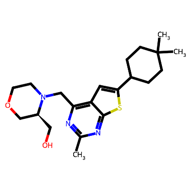 Cc1nc(CN2CCOC[C@@H]2CO)c2cc(C3CCC(C)(C)CC3)sc2n1